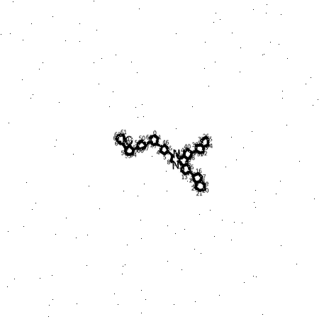 c1cc(-c2ccc(-c3cnc4c5ccc(-c6ccc7ccccc7c6)cc5c5cc(-c6ccc7ccccc7c6)ccc5c4n3)cc2)cc(-c2ccc(-c3cccc4c3oc3ccccc34)cc2)c1